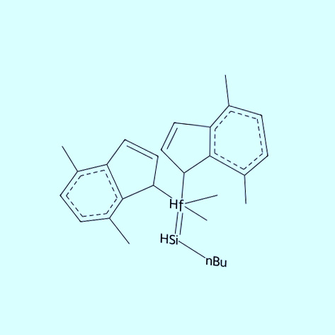 CCCC[SiH]=[Hf]([CH3])([CH3])([CH]1C=Cc2c(C)ccc(C)c21)[CH]1C=Cc2c(C)ccc(C)c21